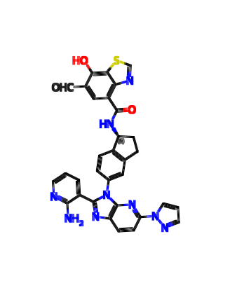 Nc1ncccc1-c1nc2ccc(-n3cccn3)nc2n1-c1ccc2c(c1)CC[C@@H]2NC(=O)c1cc(C=O)c(O)c2scnc12